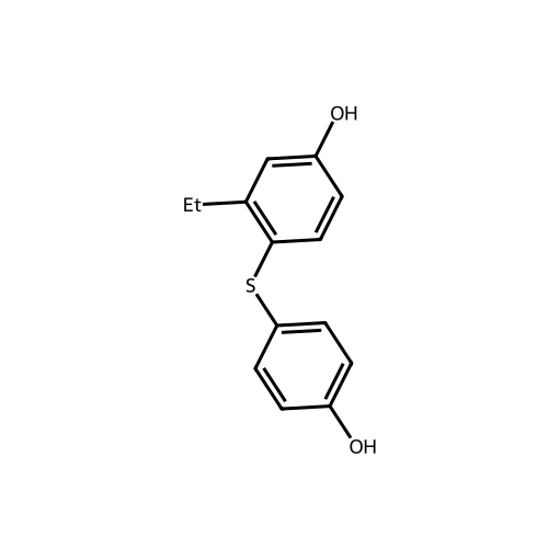 CCc1cc(O)ccc1Sc1ccc(O)cc1